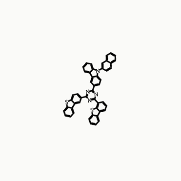 c1ccc2cc(-n3c4ccccc4c4cc(-c5nc(-c6ccc7sc8ccccc8c7c6)nc(-c6cccc7c6sc6ccccc67)n5)ccc43)ccc2c1